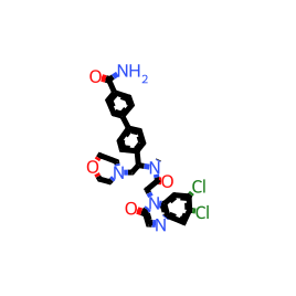 CN(C(=O)Cn1c(=O)cnc2cc(Cl)c(Cl)cc21)C(CN1CCOCC1)c1ccc(-c2ccc(C(N)=O)cc2)cc1